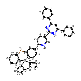 c1ccc(-c2cc(-c3ccccc3)nc(-c3ccc(-c4ccc5c(c4)Sc4ccccc4C54c5ccccc5-c5ccccc54)nc3)n2)cc1